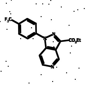 CCOC(=O)c1nn(-c2ccc(C(F)(F)F)cc2)c2ccncc12